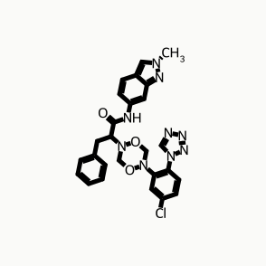 Cn1cc2ccc(NC(=O)C(Cc3ccccc3)N3CON(c4cc(Cl)ccc4-n4cnnn4)CO3)cc2n1